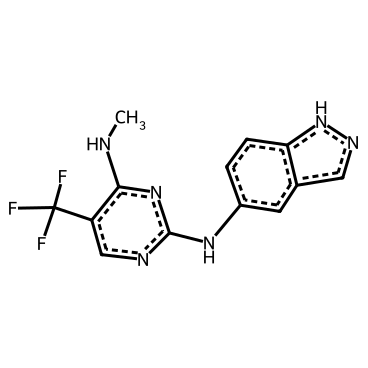 CNc1nc(Nc2ccc3[nH]ncc3c2)ncc1C(F)(F)F